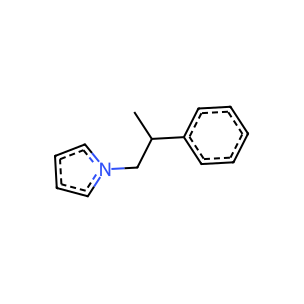 CC(Cn1cccc1)c1ccccc1